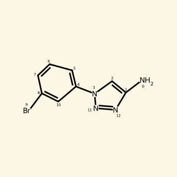 Nc1cn(-c2cccc(Br)c2)nn1